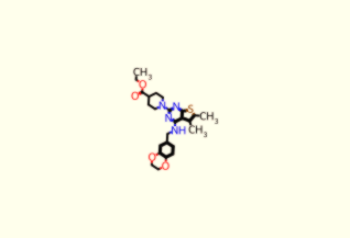 CCOC(=O)C1CCN(c2nc(NCc3ccc4c(c3)OCCO4)c3c(C)c(C)sc3n2)CC1